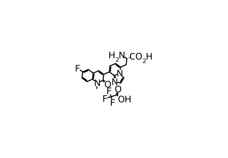 Cn1c(=O)c(-c2ccc(C[C@H](N)C(=O)O)n3ccnc23)cc2cc(F)ccc21.O=C(O)C(F)(F)F